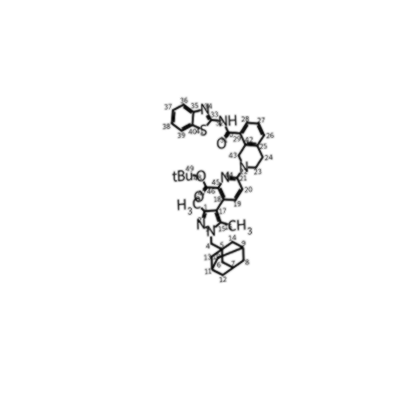 Cc1nn(CC23CC4CC(CC(C4)C2)C3)c(C)c1-c1ccc(N2CCc3cccc(C(=O)Nc4nc5ccccc5s4)c3C2)nc1C(=O)OC(C)(C)C